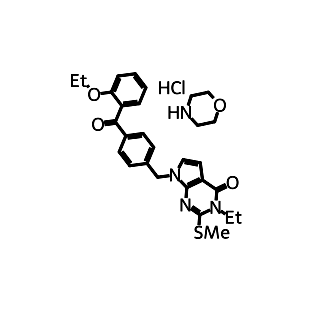 C1COCCN1.CCOc1ccccc1C(=O)c1ccc(Cn2ccc3c(=O)n(CC)c(SC)nc32)cc1.Cl